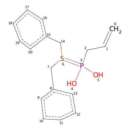 C=CCP(O)(O)=S(Cc1ccccc1)Cc1ccccc1